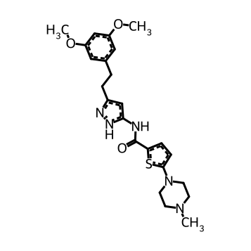 COc1cc(CCc2cc(NC(=O)c3ccc(N4CCN(C)CC4)s3)[nH]n2)cc(OC)c1